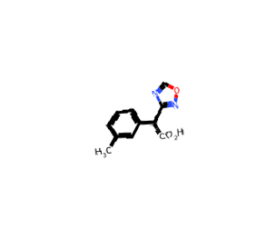 Cc1cccc(C(C(=O)O)c2ncon2)c1